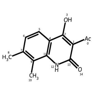 CC(=O)c1c(O)c2ccc(C)c(C)c2[nH]c1=O